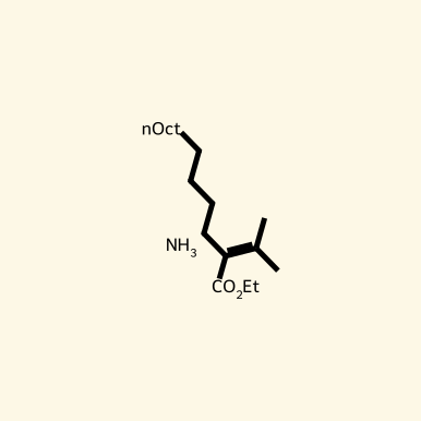 CCCCCCCCCCCCC(C(=O)OCC)=C(C)C.N